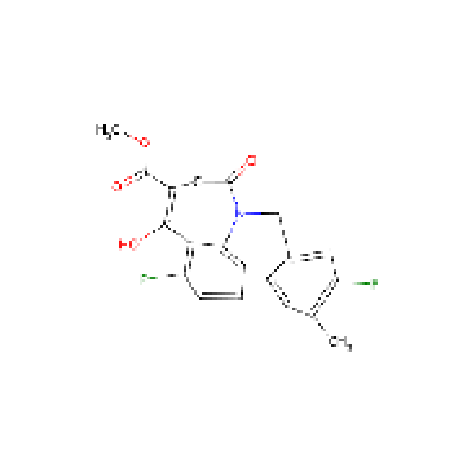 COC(=O)C1=C(O)c2c(F)cccc2N(Cc2ccc(C)c(F)c2)C(=O)C1